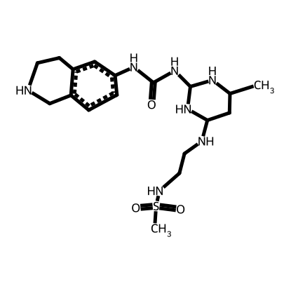 CC1CC(NCCNS(C)(=O)=O)NC(NC(=O)Nc2ccc3c(c2)CCNC3)N1